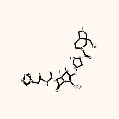 CC(NC(=O)Cn1cnnn1)[C@H]1C(=O)N2C(C(=O)O)=C(S[C@@H]3CN[C@H](C(=O)N4CCC5CNCC5(CO)C4)C3)[C@H](C)[C@H]12